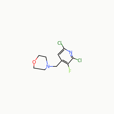 Fc1c(CN2CCOCC2)cc(Cl)nc1Cl